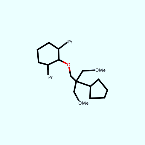 COCC(COC)(COC1C(C(C)C)CCCC1C(C)C)C1CCCC1